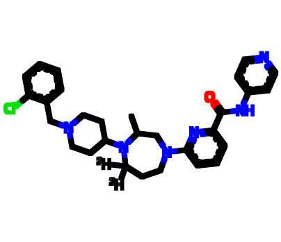 [2H]C1([2H])CCN(c2cccc(C(=O)Nc3ccncc3)n2)CC(C)N1C1CCN(Cc2ccccc2Cl)CC1